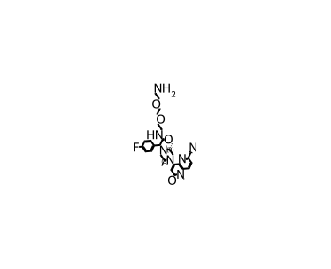 C[C@@H]1CN(c2cc(=O)n(C)c3ccc(C#N)nc23)[C@@H](C)CN1C(C(=O)NCCOCCOCCN)c1ccc(F)cc1